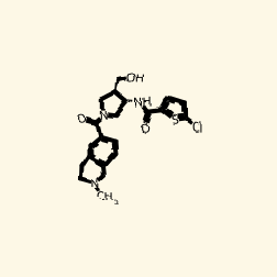 CN1CCc2cc(C(=O)N3C[C@@H](CO)[C@H](NC(=O)c4ccc(Cl)s4)C3)ccc2C1